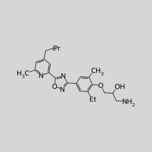 CCc1cc(-c2noc(-c3cc(CC(C)C)cc(C)n3)n2)cc(C)c1OCC(O)CN